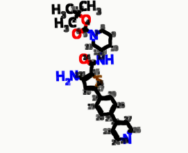 CC(C)(C)OC(=O)N1CCC[C@H](NC(=O)c2sc(-c3ccc(-c4ccncc4)cc3)cc2N)C1